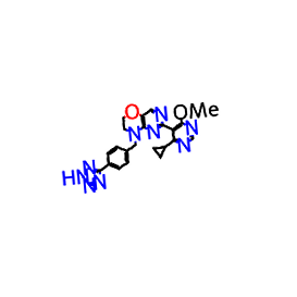 COc1ncnc(C2CC2)c1-c1ncc2c(n1)N(Cc1ccc(-c3nn[nH]n3)cc1)CCO2